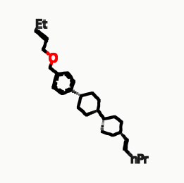 CCC=CCOCc1ccc([C@H]2CC[C@H]([C@H]3CC[C@H](C=CCCC)CC3)CC2)cc1